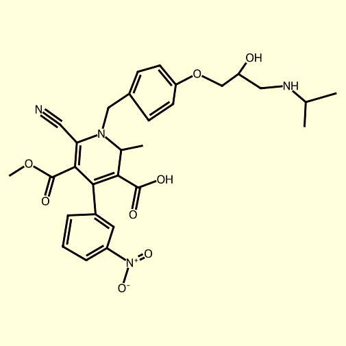 COC(=O)C1=C(C#N)N(Cc2ccc(OCC(O)CNC(C)C)cc2)C(C)C(C(=O)O)=C1c1cccc([N+](=O)[O-])c1